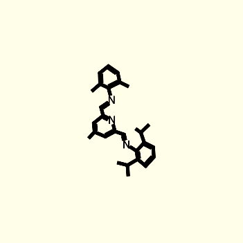 Cc1cc(/C=N/c2c(C)cccc2C)nc(/C=N/c2c(C(C)C)cccc2C(C)C)c1